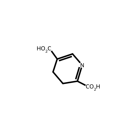 O=C(O)C1=CN=C(C(=O)O)CC1